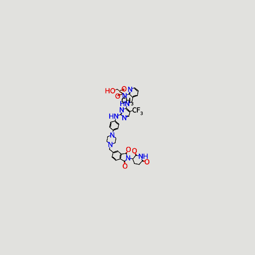 CN(c1ncccc1CNc1nc(Nc2ccc(N3CCN(Cc4ccc5c(c4)C(=O)N(C4CCC(=O)NC4=O)C5=O)CC3)cc2)ncc1C(F)(F)F)S(=O)(=O)CO